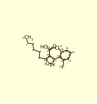 CCCCCCc1onc(-c2c(F)cccc2Cl)c1C(=O)O